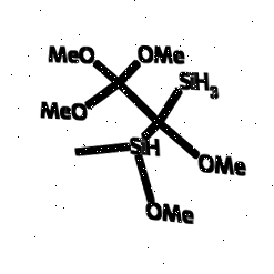 CO[SiH](C)C([SiH3])(OC)C(OC)(OC)OC